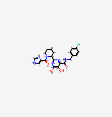 O=C(NCc1ccc(F)cc1)c1nc(C2CCCCN2C(=O)c2c[nH]cn2)nc(O)c1O